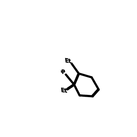 CCC1CCCCC1([P])CC